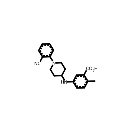 Cc1ccc(NC2CCN(c3ccccc3C#N)CC2)cc1C(=O)O